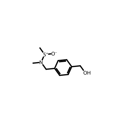 CN(Cc1ccc(CO)cc1)[S+](C)[O-]